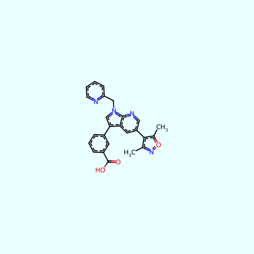 Cc1noc(C)c1-c1cnc2c(c1)c(-c1cccc(C(=O)O)c1)cn2Cc1ccccn1